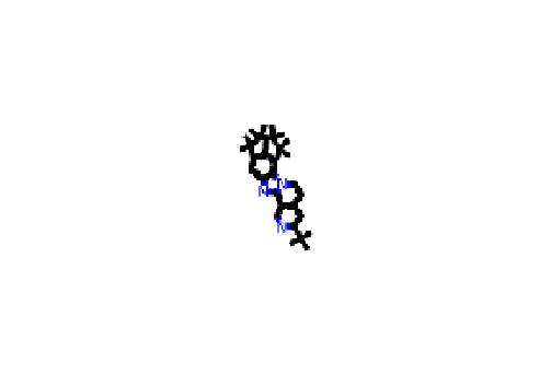 Cc1c2cc3nc4c5cnc(C(C)(C)C)cc5ccn4c3c1C(C)(C)C(C)(C)C(C)(C)C2(C)C